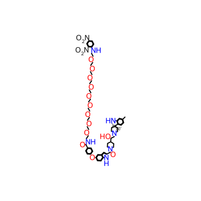 Cc1ccc2c(c1)NC[C@]21CCN(CC(O)C2CCN(C(=O)c3cc4cc(Oc5ccc(C(=O)NCCOCCOCCOCCOCCOCCOCCOCCOCCOCCNc6ccc([N+](=O)[O-])cc6[N+](=O)[O-])cc5)ccc4[nH]3)CC2)C[C@H]1C